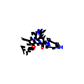 Cc1ncc2cc(N3CCNCC3)c(=O)n(Cc3ncccc3OC(F)(F)F)c2n1